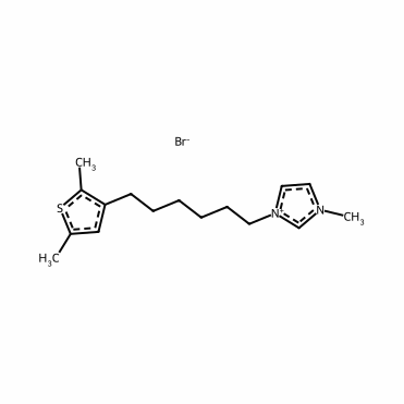 Cc1cc(CCCCCC[n+]2ccn(C)c2)c(C)s1.[Br-]